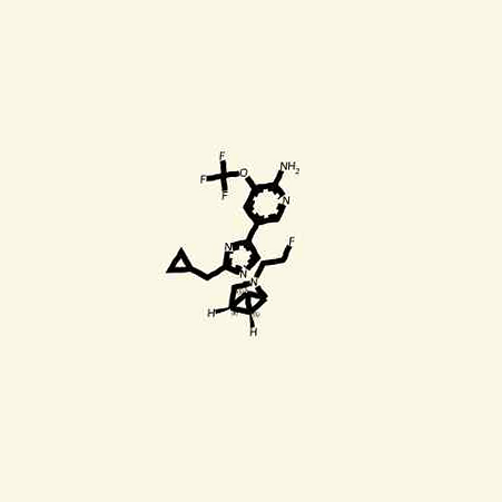 Nc1ncc(-c2cn([C@]34C5[C@@H]3[C@@H]4CN5CCF)c(CC3CC3)n2)cc1OC(F)(F)F